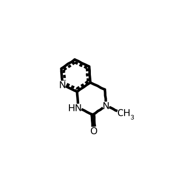 CN1Cc2cccnc2NC1=O